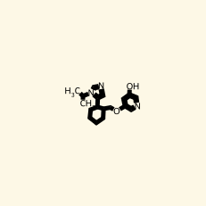 CC(C)n1cncc1C1CCCCC1COc1cncc(O)c1